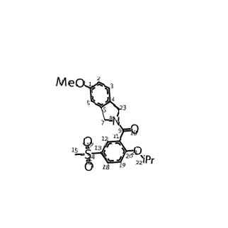 COc1ccc2c(c1)CN(C(=O)c1cc(S(C)(=O)=O)ccc1OC(C)C)C2